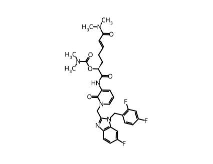 CN(C)C(=O)/C=C/CC[C@H](OC(=O)N(C)C)C(=O)Nc1cccn(Cc2nc3ccc(F)cc3n2Cc2ccc(F)cc2F)c1=O